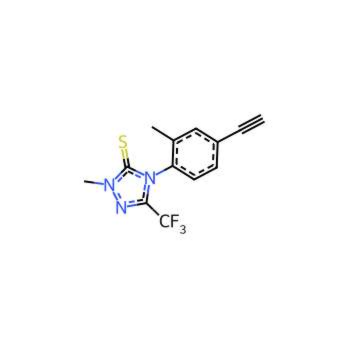 C#Cc1ccc(-n2c(C(F)(F)F)nn(C)c2=S)c(C)c1